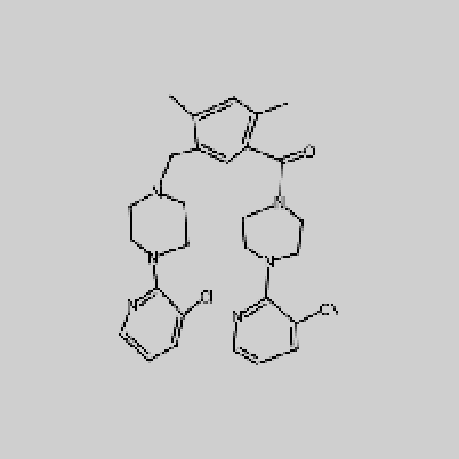 Cc1cc(C)c(C(=O)N2CCN(c3ncccc3C#N)CC2)cc1CN1CCN(c2ncccc2Cl)CC1